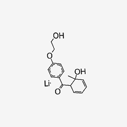 CC1(O)C=CC=CC1C(=O)c1ccc(OCCO)cc1.[Li]